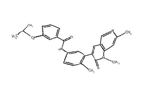 Cc1cc2c(cn1)cc(-c1cc(NC(=O)c3cccc(OC(C)C)c3)ccc1C)c(=O)n2C